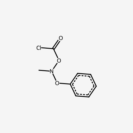 CN(OC(=O)Cl)Oc1ccccc1